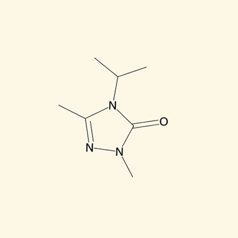 Cc1nn(C)c(=O)n1C(C)C